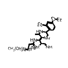 C=C1NC(c2ccc(OCC)cc2CC)CN/C1=C(/NC(=O)CCN(C)O)C(C=N)CCCCC